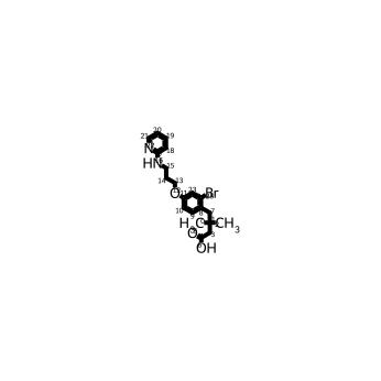 CC(C)(CC(=O)O)Cc1ccc(OCCCNc2ccccn2)cc1Br